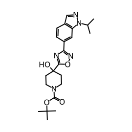 CC(C)n1ncc2ccc(-c3noc(C4(O)CCN(C(=O)OC(C)(C)C)CC4)n3)cc21